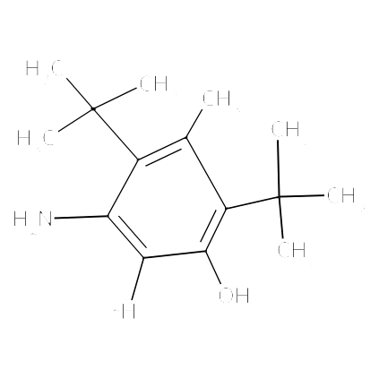 [2H]c1c(N)c(C(C)(C)C)c(C)c(C(C)(C)C)c1O